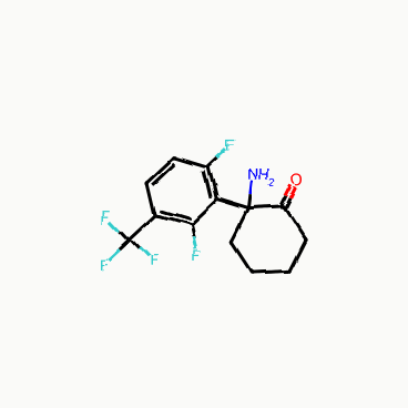 NC1(c2c(F)ccc(C(F)(F)F)c2F)CCCCC1=O